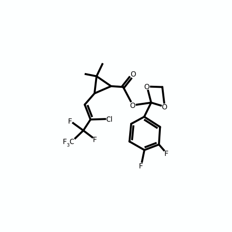 CC1(C)C(C=C(Cl)C(F)(F)C(F)(F)F)C1C(=O)OC1(c2ccc(F)c(F)c2)OCO1